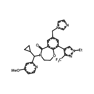 CCn1cc(-c2cc(Cn3ccnc3)cc3c2OCCN(C(c2cc(OC)ccn2)C2CC2)C3=O)c(C(F)(F)F)n1